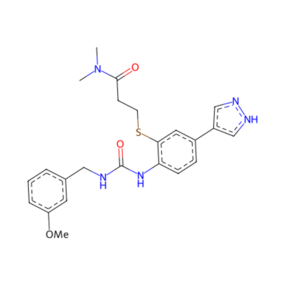 COc1cccc(CNC(=O)Nc2ccc(-c3cn[nH]c3)cc2SCCC(=O)N(C)C)c1